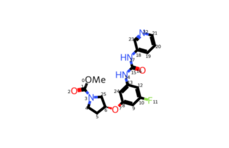 COC(=O)N1CC[C@H](Oc2cc(F)cc(NC(=O)Nc3cccnc3)c2)C1